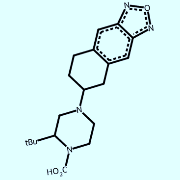 CC(C)(C)C1CN(C2CCc3cc4nonc4cc3C2)CCN1C(=O)O